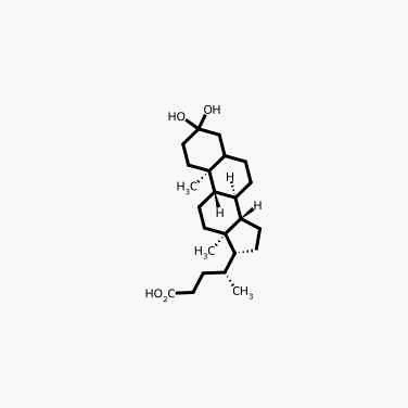 C[C@H](CCC(=O)O)[C@H]1CC[C@H]2[C@@H]3CCC4CC(O)(O)CC[C@]4(C)[C@H]3CC[C@]12C